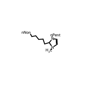 CCCCCCCCCCCCCCC1N(C)C=CN1CCCCC